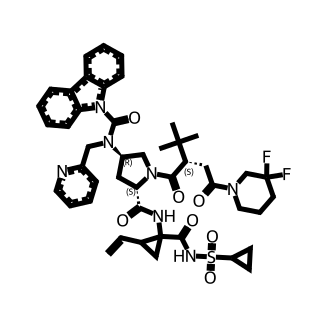 C=CC1CC1(NC(=O)[C@@H]1C[C@@H](N(Cc2ccccn2)C(=O)n2c3ccccc3c3ccccc32)CN1C(=O)[C@@H](CC(=O)N1CCCC(F)(F)C1)C(C)(C)C)C(=O)NS(=O)(=O)C1CC1